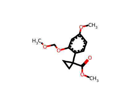 COCOc1cc(OC)ccc1C1(C(=O)OC)CC1